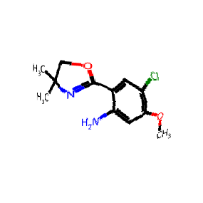 COc1cc(N)c(C2=NC(C)(C)CO2)cc1Cl